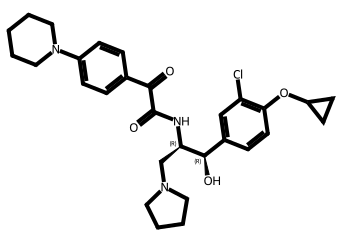 O=C(N[C@H](CN1CCCC1)[C@H](O)c1ccc(OC2CC2)c(Cl)c1)C(=O)c1ccc(N2CCCCC2)cc1